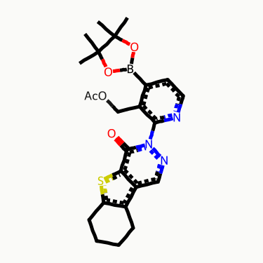 CC(=O)OCc1c(B2OC(C)(C)C(C)(C)O2)ccnc1-n1ncc2c3c(sc2c1=O)CCCC3